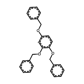 [c]1c(OCc2ccccc2)ccc(OCc2ccccc2)c1OCc1ccccc1